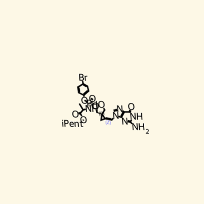 CCCC(C)OC(=O)C(C)N[P@](=O)(OC[C@]1(CO)C/C1=C/n1cnc2c(=O)[nH]c(N)nc21)Oc1ccc(Br)cc1